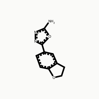 Nc1nnc(-c2ccc3c(c2)CCO3)o1